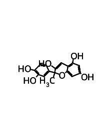 CC1(c2ccc(O)c(O)c2)Oc2cc(O)cc(O)c2C=C1O